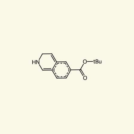 CC(C)(C)OC(=O)c1ccc2c(c1)=CCNC=2